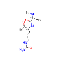 CCN[C@H](C(=O)N[C@@H](CCCNC(N)=O)C(=O)CC)C(C)C